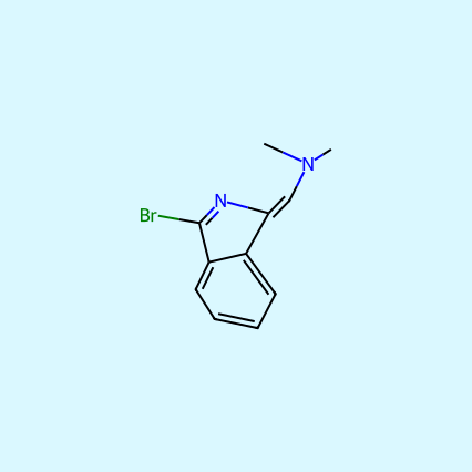 CN(C)C=C1N=C(Br)c2ccccc21